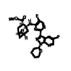 COC(=O)[C@H]1C[C@@H]2C[C@@H]2C[C@@H]1Nc1nc(-c2nn(C3CCCCO3)c3ncc(F)cc23)ncc1F